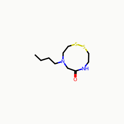 CCCCN1CCSSCCNC(=O)C1